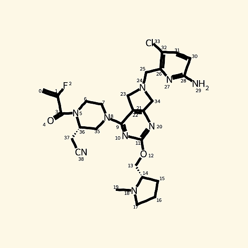 C=C(F)C(=O)N1CCN(c2nc(OC[C@@H]3CCCN3C)nc3c2CN(Cc2nc(N)ccc2Cl)C3)C[C@@H]1CC#N